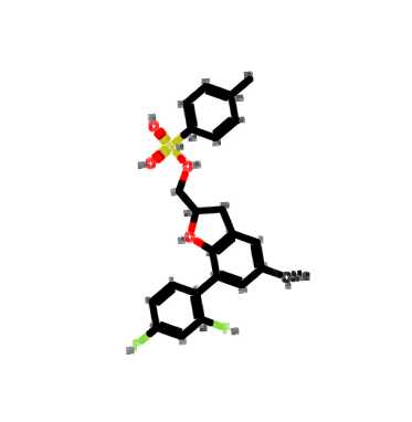 COc1cc2c(c(-c3ccc(F)cc3F)c1)OC(COS(=O)(=O)c1ccc(C)cc1)C2